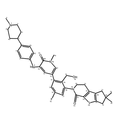 CN1CCC(c2ccc(Nc3cc(-c4cc(F)cc(N5CCc6c(sc7c6CC(C)(C)C7)C5=O)c4CO)cn(C)c3=O)cc2)CC1